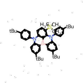 CC(C)(C)c1ccc(N2c3ccc(C(C)(C)C)cc3B3c4cc(C(C)(C)C)ccc4N(c4ccc(C(C)(C)C)cc4)c4c(S(C)(C)C)ccc2c43)cc1